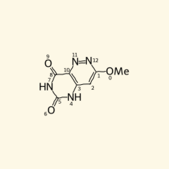 COc1cc2[nH]c(=O)[nH]c(=O)c2nn1